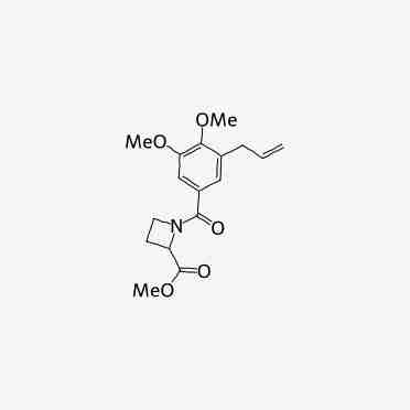 C=CCc1cc(C(=O)N2CCC2C(=O)OC)cc(OC)c1OC